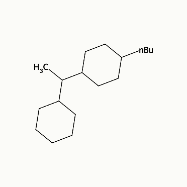 CCCCC1CCC(C(C)C2CCCCC2)CC1